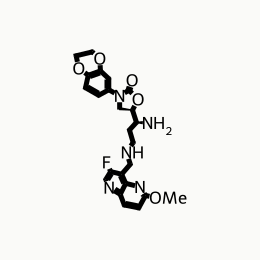 COc1ccc2ncc(F)c(CNCC[C@H](N)[C@H]3CN(c4ccc5c(c4)OCCO5)C(=O)O3)c2n1